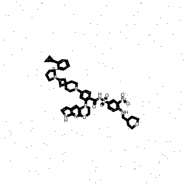 O=C(NS(=O)(=O)c1ccc(NCC2CCOCC2)c([N+](=O)[O-])c1)c1ccc(N2CCC3(CC2)CC(N2CCC[C@@H]2c2ccccc2C2CC2)C3)cc1N1CCOc2nc3[nH]ccc3cc21